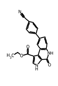 CCOC(=O)c1c[nH]c2c(=O)[nH]c3ccc(-c4ccc(C#N)cc4)cc3c12